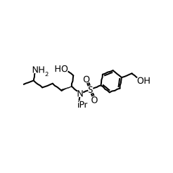 CC(N)CCC[C@@H](CO)N(C(C)C)S(=O)(=O)c1ccc(CO)cc1